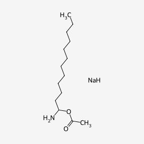 CCCCCCCCCCCC(N)OC(C)=O.[NaH]